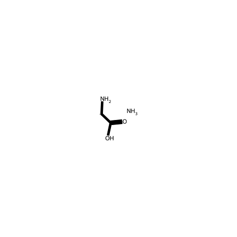 N.N[CH]C(=O)O